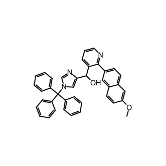 COc1ccc2cc(-c3ncccc3C(O)c3cn(C(c4ccccc4)(c4ccccc4)c4ccccc4)cn3)ccc2c1